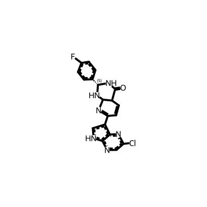 O=C1N[C@@H](c2ccc(F)cc2)NC2N=C(c3c[nH]c4ncc(Cl)nc34)C=CC12